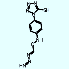 N=N/N=C/ONc1ccc(-n2nnnc2S)cc1